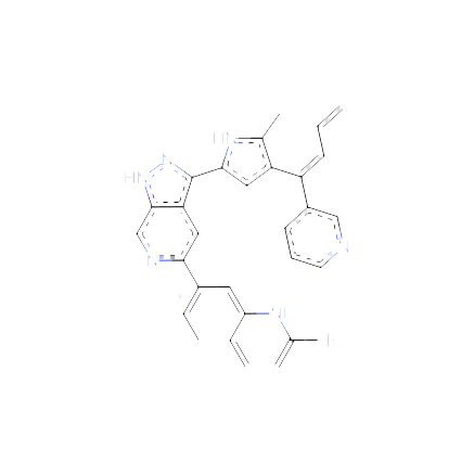 C=C/C=C(/c1cccnc1)c1cc(-c2n[nH]c3cnc(C(/C=C(\C=C)NC(=C)C(C)(C)C)=C/C)cc23)[nH]c1C